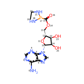 Nc1ncnc2c1ncn2[C@@H]1O[C@H](COC(=O)P2NCCN2)[C@@H](O)[C@H]1O